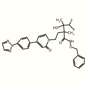 CC(CCn1ccc(-c2ccc(-n3nccn3)cc2)cc1=O)(C(=O)NOCc1ccccc1)C(C)(O)C(F)F